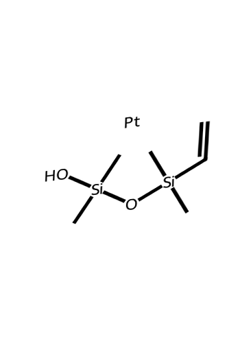 C=C[Si](C)(C)O[Si](C)(C)O.[Pt]